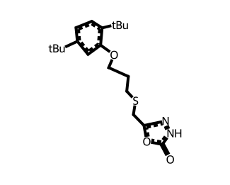 CC(C)(C)c1ccc(C(C)(C)C)c(OCCCSCc2n[nH]c(=O)o2)c1